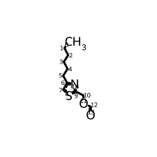 CCCCCCc1csc(CO[C]=O)n1